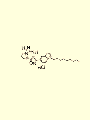 CCCCCCCCCn1ccc2cc(-c3noc([C@@H]4CCCN4C(=N)N)n3)ccc21.Cl